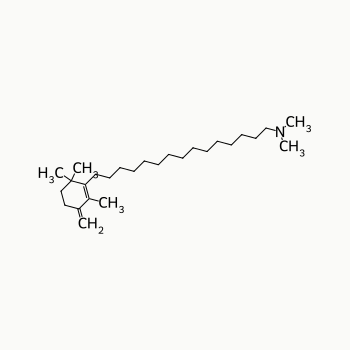 C=C1CCC(C)(C)C(CCCCCCCCCCCCCCCN(C)C)=C1C